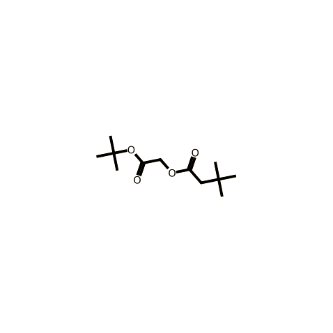 CC(C)(C)CC(=O)OCC(=O)OC(C)(C)C